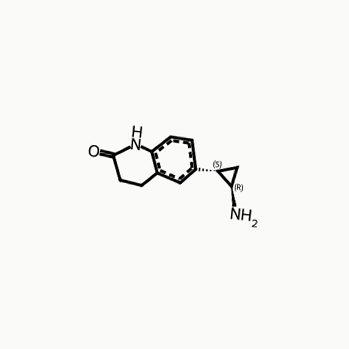 N[C@@H]1C[C@H]1c1ccc2c(c1)CCC(=O)N2